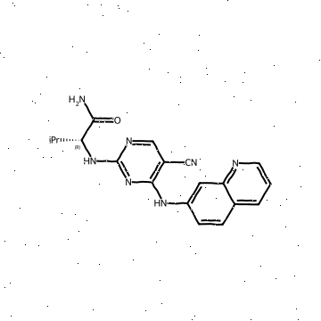 CC(C)[C@@H](Nc1ncc(C#N)c(Nc2ccc3cccnc3c2)n1)C(N)=O